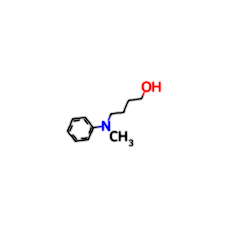 CN(CCCCO)c1ccccc1